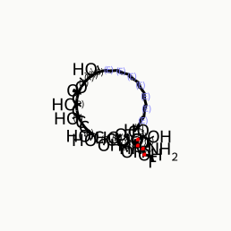 C[C@@H]1[C@H](O)[C@@H](C)/C=C/C=C/C=C/C=C/C=C/C=C/C=C/[C@H](O[C@@H]2O[C@H](C)[C@@H](O)[C@H](N)[C@@H]2O)C[C@@H]2O[C@](O)(C[C@@H](O)C[C@@H](O)[C@H](O)CC[C@@H](O)C[C@@H](O)CC(=O)O[C@H]1C)C[C@H](O)[C@H]2C(=O)NCCCF